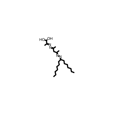 CCCCCCCC(CCCCCCC)=N/N=C(\C)C/C(C)=N/N=C(\C)C(O)O